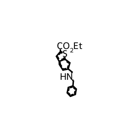 CCOC(=O)c1cc2ccc(CNCc3ccccc3)cc2s1